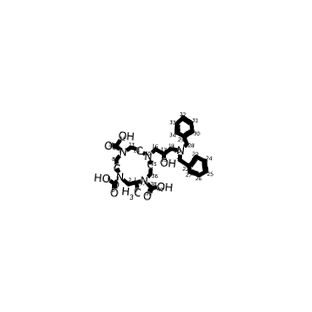 CC1CN(C(=O)O)CCN(C(=O)O)CCN(CC(O)CN(Cc2ccccc2)Cc2ccccc2)CCN1C(=O)O